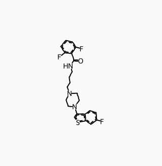 O=C(NCCCCN1CCN(c2csc3cc(F)ccc23)CC1)c1c(F)cccc1F